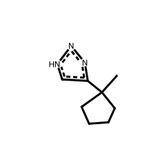 CC1(c2c[nH]nn2)CCCC1